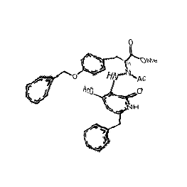 COC(=O)[C@H](Cc1ccc(OCc2ccccc2)cc1)N(Nc1c(OC(C)=O)cc(Cc2ccccc2)[nH]c1=O)C(C)=O